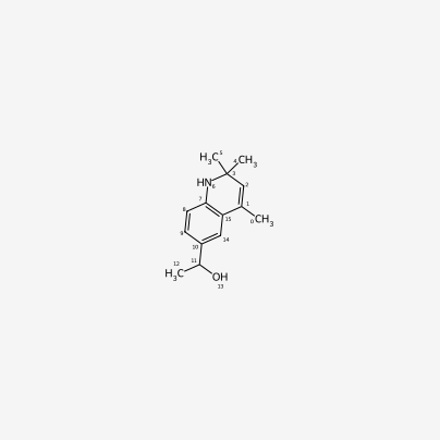 CC1=CC(C)(C)Nc2ccc(C(C)O)cc21